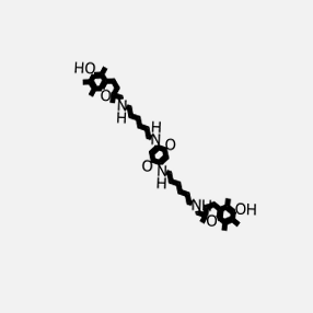 Cc1c(C)c2c(c(C)c1O)CCC(C)(CNCCCCCCNC1=CC(=O)C(NCCCCCCNCC3(C)CCc4c(C)c(O)c(C)c(C)c4O3)=CC1=O)O2